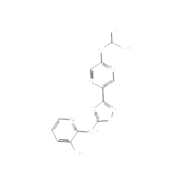 Cc1cccnc1Nc1nc(-c2cnc(OC(C)C)cn2)ns1